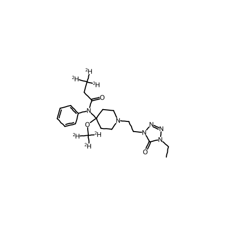 [2H]C([2H])([2H])CC(=O)N(c1ccccc1)C1(OC([2H])([2H])[2H])CCN(CCn2nnn(CC)c2=O)CC1